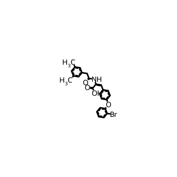 Cc1cc(C)cc(CC(=O)NC(=Cc2ccc(Oc3ccccc3Br)cc2)C(=O)O)c1